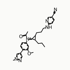 CCCC1/C(=[N+](/C(C)=O)c2ccc(-c3cnn(C)c3)c(OC)c2)C1CCCNc1ccc(C#N)cn1